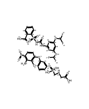 Nc1c([N+](=O)[O-])ccc(Oc2ccccc2)c1Cl.O=C(Nc1nc(OC(F)F)cc(OC(F)F)n1)NS(=O)(=O)c1ccccc1C(=O)O.O=C(O)CNCP(=O)(O)O